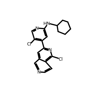 Clc1cnc(NC2CCCCC2)cc1-c1cc2cnccc2c(Cl)n1